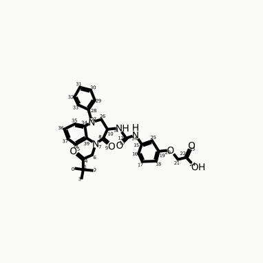 CC(C)(C)C(=O)CN1C(=O)C(NC(=O)Nc2cccc(OCC(=O)O)c2)CN(c2ccccc2)c2ccccc21